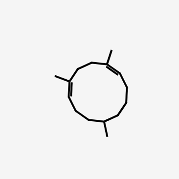 CC1=CCCCC(C)CCC=C(C)CC1